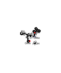 CO/N=C(\C(=O)NC1C(=O)N2C(C(=O)OCc3ccc(OC)cc3)=C(CSc3nc4c(s3)N(C)CC=C4)CS[C@@H]12)c1csc(NC(c2ccccc2)(c2ccccc2)c2ccccc2)n1.O=C(O)C(F)(F)F